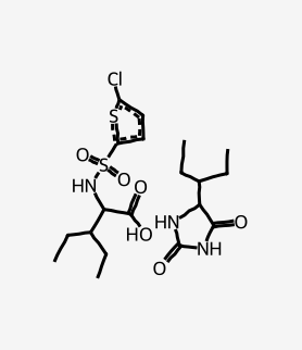 CCC(CC)C(NS(=O)(=O)c1ccc(Cl)s1)C(=O)O.CCC(CC)C1NC(=O)NC1=O